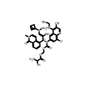 CC(C)C(N)C(=O)OCOC(=O)N(c1cc(Cl)c2ncc(C#N)c(NCC(C)(C)C)c2c1)[C@H](/C(N)=C/N(N)C12CC(C1)C2)c1cccc2c(=O)n(C)ccc12